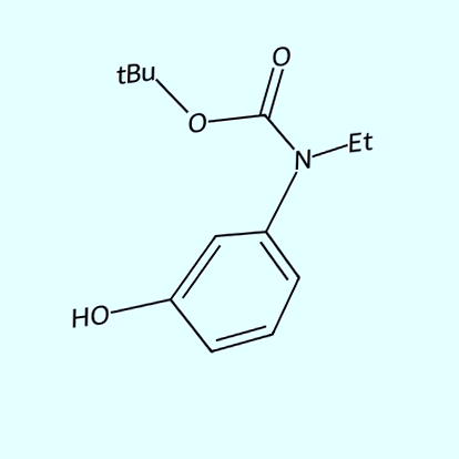 CCN(C(=O)OC(C)(C)C)c1cccc(O)c1